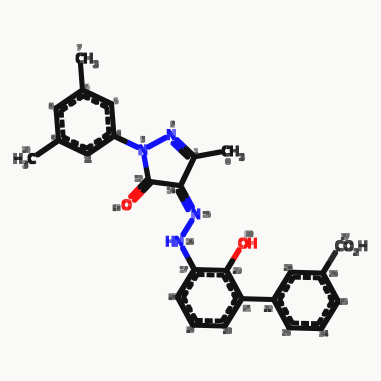 CC1=NN(c2cc(C)cc(C)c2)C(=O)C1=NNc1cccc(-c2cccc(C(=O)O)c2)c1O